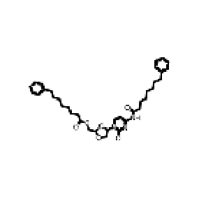 O=C(CCCCCCCc1ccccc1)Nc1ccn(C2COC(COC(=O)CCCCCCCc3ccccc3)O2)c(=O)n1